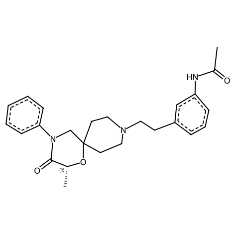 CC(=O)Nc1cccc(CCN2CCC3(CC2)CN(c2ccccc2)C(=O)[C@@H](C)O3)c1